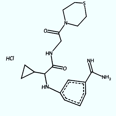 Cl.N=C(N)c1cccc(NC(C(=O)NCC(=O)N2CCSCC2)C2CC2)c1